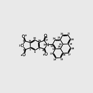 O=c1oc(=O)c2cc3c(=O)n(C4=C5C=CC=C6C=CC7=CC=CC(=C4)C7C65)c(=O)c3cc12